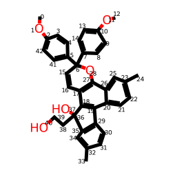 COc1ccc(C2(c3ccc(OC)cc3)C=Cc3c4c(c5ccc(C)cc5c3O2)-c2ccc(C)cc2C4(O)CCO)cc1